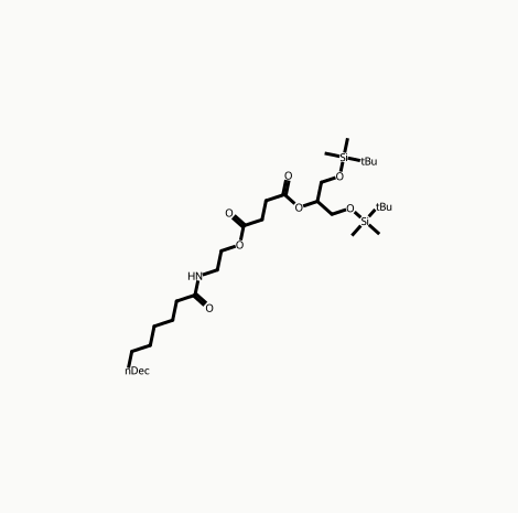 CCCCCCCCCCCCCCCC(=O)NCCOC(=O)CCC(=O)OC(CO[Si](C)(C)C(C)(C)C)CO[Si](C)(C)C(C)(C)C